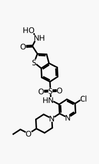 CCOC1CCN(c2ncc(Cl)cc2NS(=O)(=O)c2ccc3cc(C(=O)NO)sc3c2)CC1